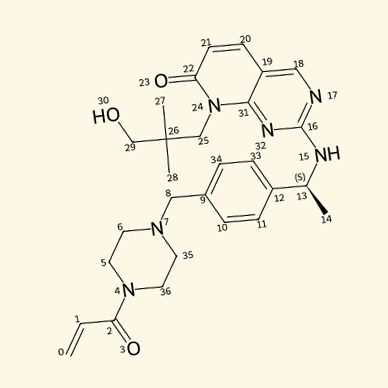 C=CC(=O)N1CCN(Cc2ccc([C@H](C)Nc3ncc4ccc(=O)n(CC(C)(C)CO)c4n3)cc2)CC1